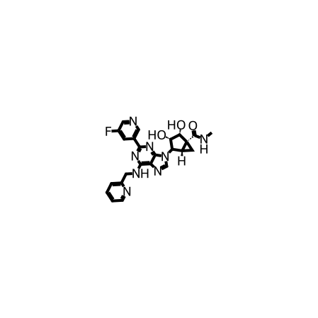 CNC(=O)[C@]12C[C@@H]1C(n1cnc3c(NCc4ccccn4)nc(-c4cncc(F)c4)nc31)[C@H](O)[C@@H]2O